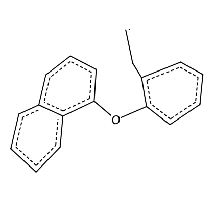 [CH2]Cc1ccccc1Oc1cccc2ccccc12